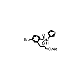 COC/C=C/c1cc(C(C)(C)C)ccc1S(=O)(=O)Nc1ccsc1